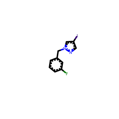 Fc1cccc(Cn2cc(I)cn2)c1